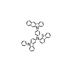 c1ccc(-n2c3ccccc3c3cc(N(c4ccc(-n5c6ccccc6c6cc7ccccc7cc65)cc4)c4cccc5c4sc4ccccc45)ccc32)cc1